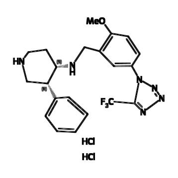 COc1ccc(-n2nnnc2C(F)(F)F)cc1CN[C@H]1CCNC[C@H]1c1ccccc1.Cl.Cl